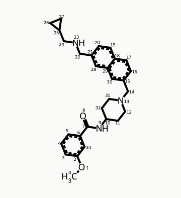 COc1cccc(C(=O)NC2CCN(Cc3ccc4ccc(CNCC5CC5)cc4c3)CC2)c1